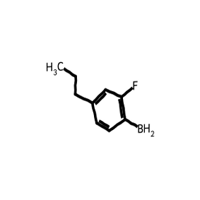 Bc1ccc(CCC)cc1F